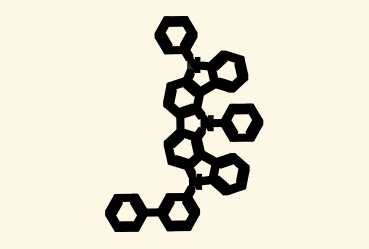 c1ccc(-c2cccc(-n3c4ccccc4c4c3ccc3c5ccc6c(c7ccccc7n6-c6ccccc6)c5n(-c5ccccc5)c34)c2)cc1